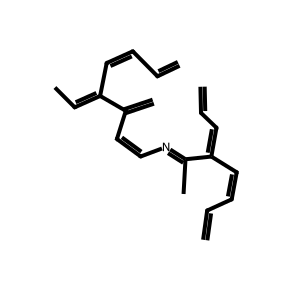 C=CC=C(/C=C\C=C)/C(C)=N/C=C\C(=C)C(/C=C\C=C)=C/C